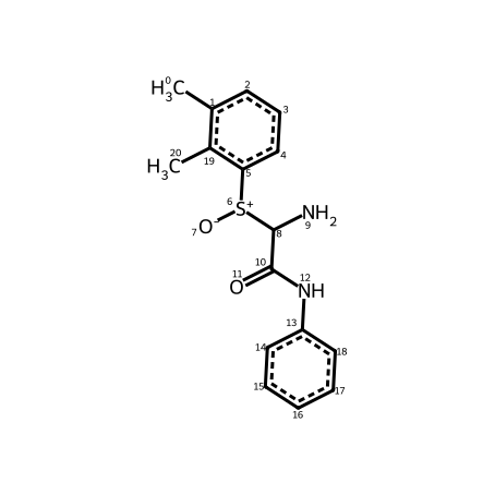 Cc1cccc([S+]([O-])C(N)C(=O)Nc2ccccc2)c1C